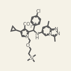 CCOC(=O)c1c(C2CC2)cn(COCC[Si](C)(C)C)c1C(Nc1cc(C)c2nnc(C)n2c1)c1ccc(Cl)cc1